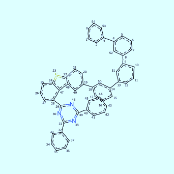 c1ccc(-c2cccc(-c3cccc(-c4cccc(-c5ccc6sc7cccc(-c8nc(-c9ccccc9)nc(-c9ccccc9)n8)c7c6c5)c4)c3)c2)cc1